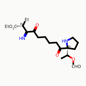 CCOC(=O)[C@H](CC)C(=N)C(=O)CCCCC(=O)[C@]1(C(C)OC=O)CCCN1